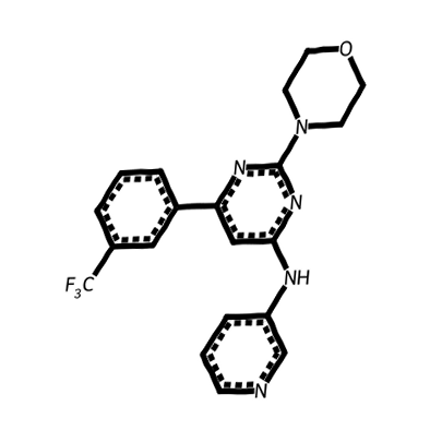 FC(F)(F)c1cccc(-c2cc(Nc3cccnc3)nc(N3CCOCC3)n2)c1